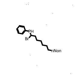 CCCCCCCCCCCCCCCC(Br)Pc1ccccc1